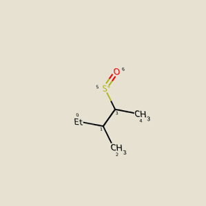 CCC(C)C(C)[S+]=O